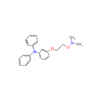 CN(C)OCCOc1cccc(N(c2ccccc2)c2ccccc2)c1